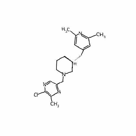 Cc1cc(C[C@H]2CCCN(Cc3cnc(Cl)c(C)n3)C2)cc(C)n1